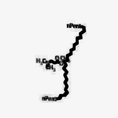 CCCCC/C=C\C/C=C/CCCCCCCC(C)(CCCCCCCC/C=C\C=C\CCCCC)OC(=O)CCN(C)C